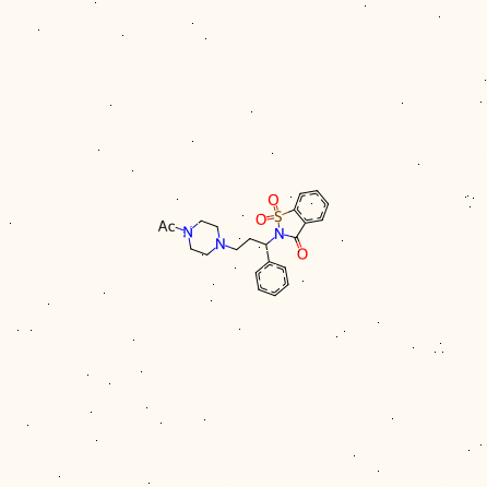 CC(=O)N1CCN(CCC(c2ccccc2)N2C(=O)c3ccccc3S2(=O)=O)CC1